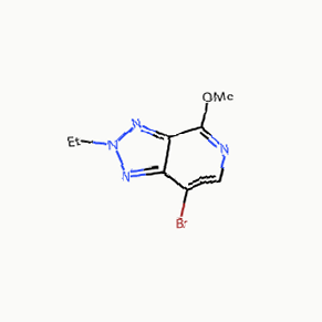 CCn1nc2c(Br)cnc(OC)c2n1